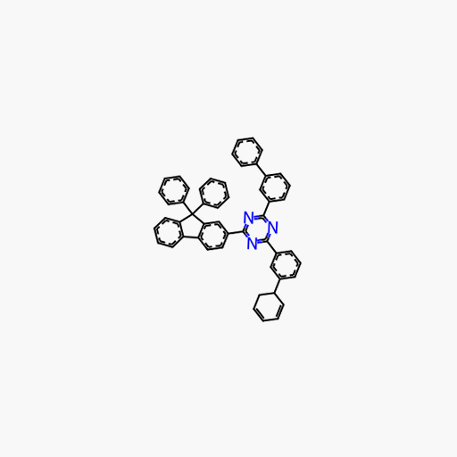 C1=CCC(c2cccc(-c3nc(-c4cccc(-c5ccccc5)c4)nc(-c4ccc5c(c4)C(c4ccccc4)(c4ccccc4)c4ccccc4-5)n3)c2)C=C1